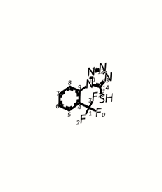 FC(F)(F)c1ccccc1-n1nnnc1S